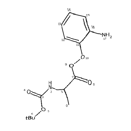 CC(NC(=O)OC(C)(C)C)C(=O)OOc1ccccc1N